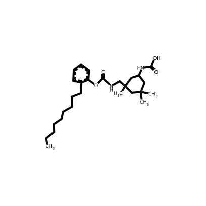 CCCCCCCCCc1ccccc1OC(=O)NCC1(C)CC(NC(=O)O)CC(C)(C)C1